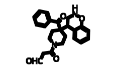 O=CCC(=O)N1CCC(C(=O)c2ccccc2)(C2CNOc3ccccc32)CC1